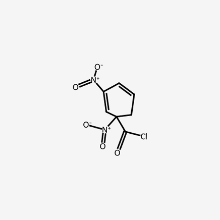 O=C(Cl)C1([N+](=O)[O-])C=C([N+](=O)[O-])C=CC1